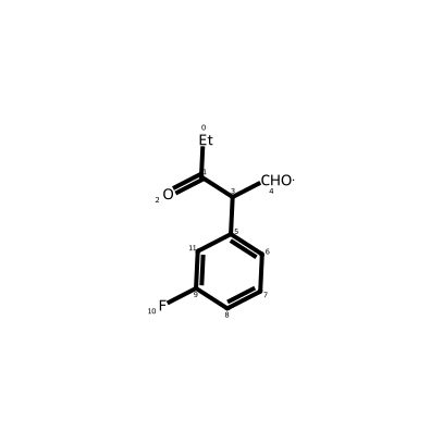 CCC(=O)C([C]=O)c1cccc(F)c1